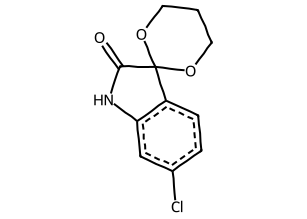 O=C1Nc2cc(Cl)ccc2C12OCCCO2